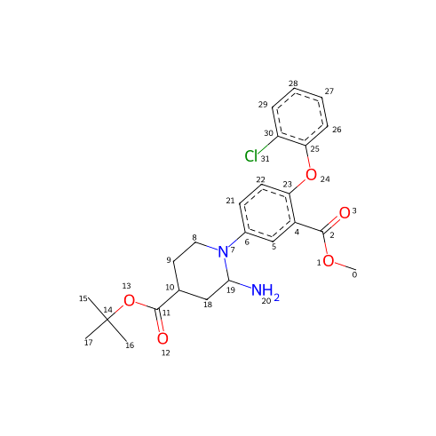 COC(=O)c1cc(N2CCC(C(=O)OC(C)(C)C)CC2N)ccc1Oc1ccccc1Cl